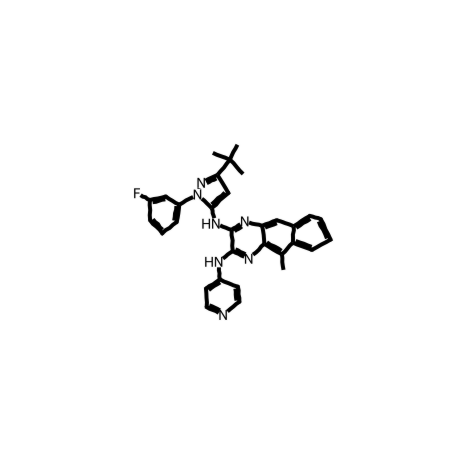 Cc1c2ccccc2cc2nc(Nc3cc(C(C)(C)C)nn3-c3cccc(F)c3)c(Nc3ccncc3)nc12